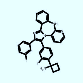 NC1(c2ccc(-c3c(-c4cccc(F)c4)nc4n3-c3cccnc3Nc3ccccc3-4)cc2F)CCC1